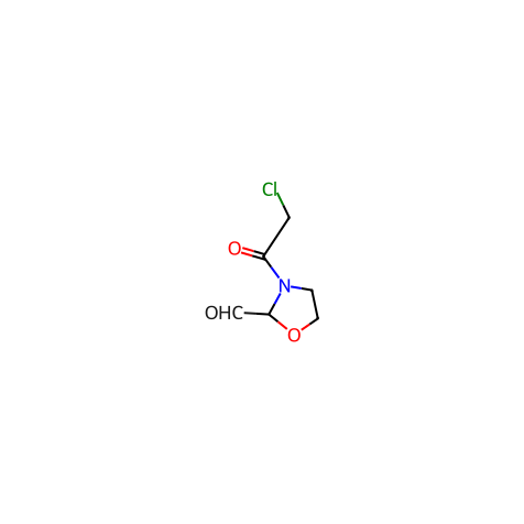 O=CC1OCCN1C(=O)CCl